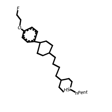 CCCCC[SiH]1CCC(CCCCC2CCC(c3ccc(OCCF)cc3)CC2)CC1